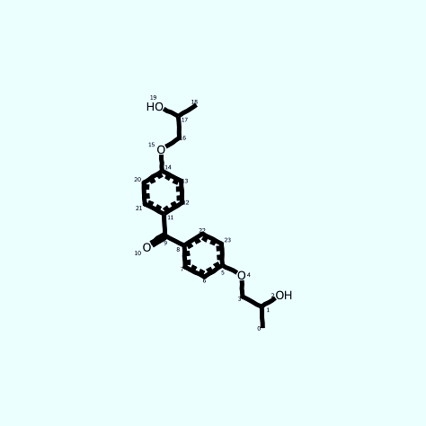 CC(O)COc1ccc(C(=O)c2ccc(OCC(C)O)cc2)cc1